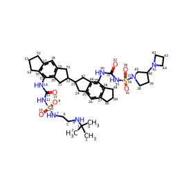 CC(C)(C)NCCNS(=O)(=O)NC(=O)Nc1c2c(cc3c1CC(C1Cc4cc5c(c(NC(=O)NS(=O)(=O)N6CCC(N7CCC7)C6)c4C1)CCC5)C3)CCC2